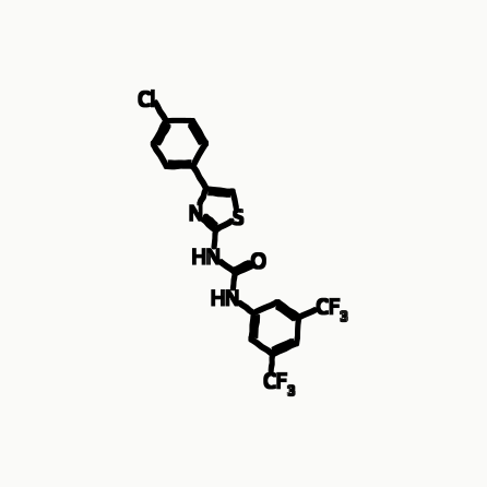 O=C(Nc1cc(C(F)(F)F)cc(C(F)(F)F)c1)Nc1nc(-c2ccc(Cl)cc2)cs1